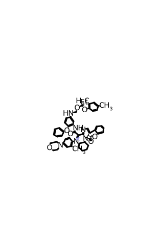 CCC(OCNc1ccc(Oc2ccccc2)c(NC(=O)/C(=N\c2ccc(N3CCOCC3)cc2C)C2=NC=C(c3ccccc3)S(=O)(=O)N2C2CCCCC2)c1)Oc1ccc(C)cc1C